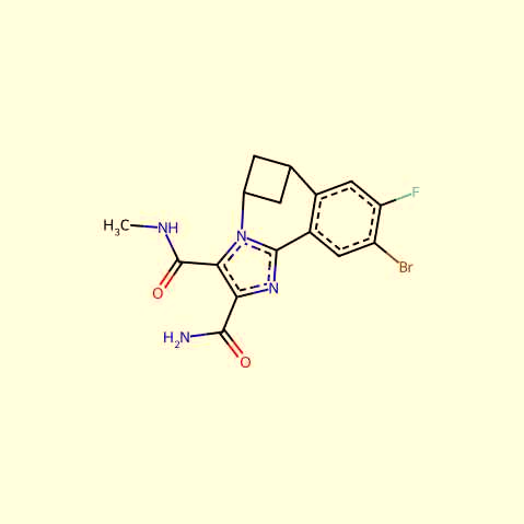 CNC(=O)c1c(C(N)=O)nc2n1C1CC(C1)c1cc(F)c(Br)cc1-2